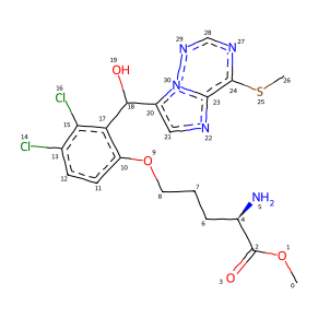 COC(=O)[C@H](N)CCCOc1ccc(Cl)c(Cl)c1C(O)c1cnc2c(SC)ncnn12